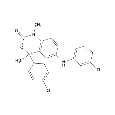 CN1C(=O)OC(C)(c2ccc(Cl)cc2)c2cc(Nc3cccc(Cl)c3)ccc21